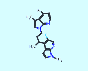 Cc1cn(CCC(C)c2c(F)cnc3c2ccn3C)c2nccc(C(C)C)c12